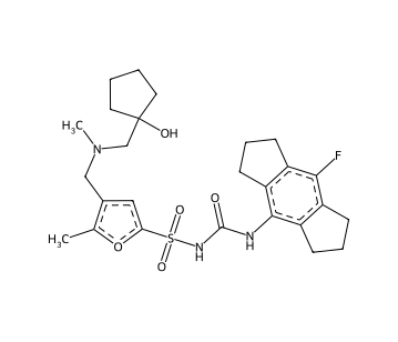 Cc1oc(S(=O)(=O)NC(=O)Nc2c3c(c(F)c4c2CCC4)CCC3)cc1CN(C)CC1(O)CCCC1